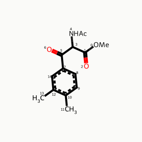 COC(=O)C(NC(C)=O)C(=O)c1ccc(C)c(C)c1